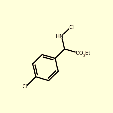 CCOC(=O)C(NCl)c1ccc(Cl)cc1